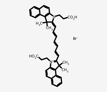 CC1(C)C(/C=C/C=C/C=C/C=C2/N(CCC(=O)O)c3ccc4ccccc4c3C2(C)C)=[N+](CCC(=O)O)c2ccc3ccccc3c21.[Br-]